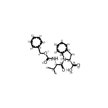 CC(C)[C@H](NC(=O)OCc1ccccc1)C(=O)N1c2ccccc2C[C@H]1C(=O)O